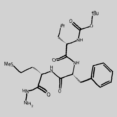 CSCC[C@H](NC(=O)[C@@H](Cc1ccccc1)NC(=O)[C@H](CC(C)C)NC(=O)OC(C)(C)C)C(=O)NN